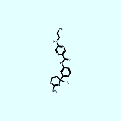 CC1(c2cccc(NC(=O)c3cnc(NCCO)cn3)c2)CCSC(N)=N1